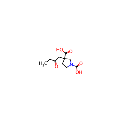 CCC(=O)CC1(C(=O)O)CCN(C(=O)O)C1